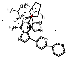 CC(C)S(=O)(=O)c1c([C@H]2C[C@H]3CC[C@@H](C2)N3C(=O)c2nnc[nH]2)nc2c(-c3ccc(-c4ccccc4)nc3)cnn2c1N